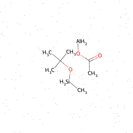 CC(=O)[O][AlH2].C[SiH2]OC(C)(C)C